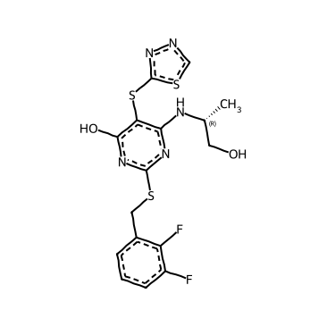 C[C@H](CO)Nc1nc(SCc2cccc(F)c2F)nc(O)c1Sc1nncs1